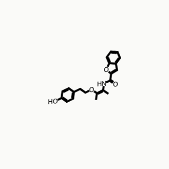 C/C(NC(=O)c1cc2ccccc2o1)=C(\C)OCCc1ccc(O)cc1